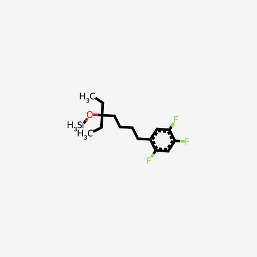 CCC(CC)(CCCCc1cc(F)c(F)cc1F)O[SiH3]